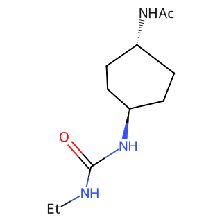 CCNC(=O)N[C@H]1CC[C@H](NC(C)=O)CC1